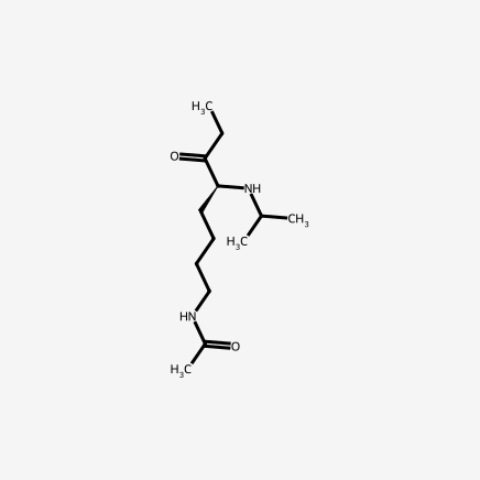 CCC(=O)[C@H](CCCCNC(C)=O)NC(C)C